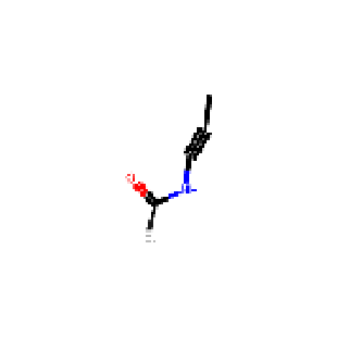 CC#CNC(=O)CC